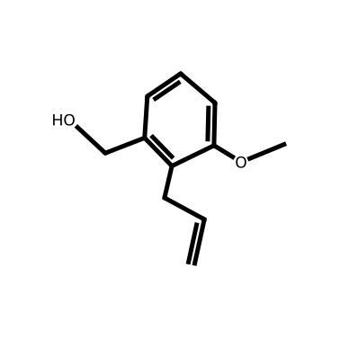 C=CCc1c(CO)cccc1OC